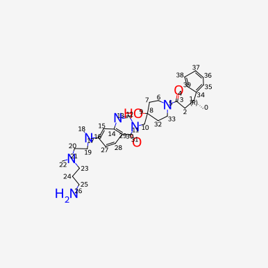 C[C@H](CC(=O)N1CCC(O)(Cn2cnc3cc(N(C)CCN(C)CCCN)ccc3c2=O)CC1)c1ccccc1